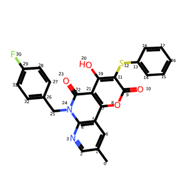 Cc1cnc2c(c1)c1oc(=O)c(Sc3ccccc3)c(O)c1c(=O)n2Cc1ccc(F)cc1